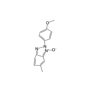 COc1ccc(-n2nc3ccc(C)cc3[n+]2[O-])cc1